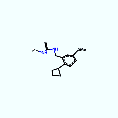 C=C(NCc1cc(SC)ccc1C1CCC1)NC(C)C